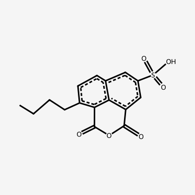 CCCCc1ccc2cc(S(=O)(=O)O)cc3c2c1C(=O)OC3=O